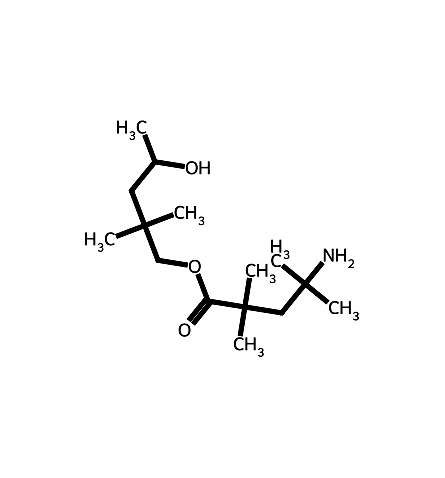 CC(O)CC(C)(C)COC(=O)C(C)(C)CC(C)(C)N